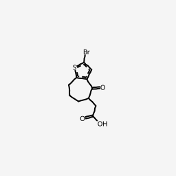 O=C(O)CC1CCCc2sc(Br)cc2C1=O